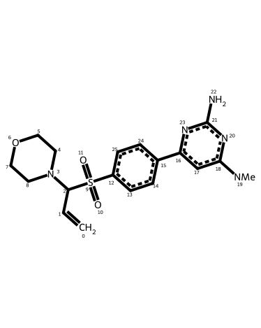 C=CC(N1CCOCC1)S(=O)(=O)c1ccc(-c2cc(NC)nc(N)n2)cc1